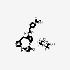 CNC(=O)N1CCC(CC(=O)Nc2ccc3cc2CCc2cncc(c2)Nc2ncc(Cl)c(n2)N3)CC1.O=C(O)C(F)(F)F.O=C(O)C(F)(F)F